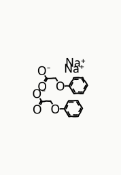 O=C([O-])COc1ccccc1.O=C([O-])COc1ccccc1.[Na+].[Na+]